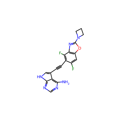 Nc1ncnc2[nH]cc(C#Cc3c(F)cc4oc(N5CCC5)nc4c3F)c12